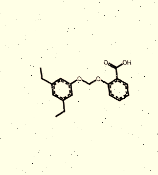 CCc1cc(CC)cc(OCOc2ccccc2C(=O)O)c1